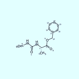 CCCCCCCCCCNC(=O)N[C@@H](C)C(=O)OCc1ccccc1